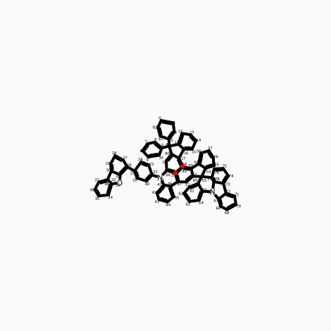 c1ccc(C2(c3ccccc3)c3ccccc3-c3ccc(N(c4ccc(-c5cccc6c5oc5ccccc56)cc4)c4ccccc4-c4ccc5c(c4)C4(c6ccccc6-5)c5ccccc5-n5c6ccccc6c6cccc4c65)cc32)cc1